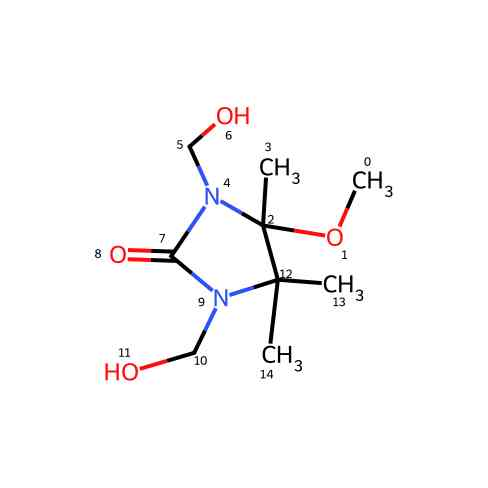 COC1(C)N(CO)C(=O)N(CO)C1(C)C